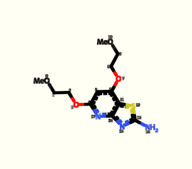 COCCOc1cc(OCCOC)c2sc(N)nc2n1